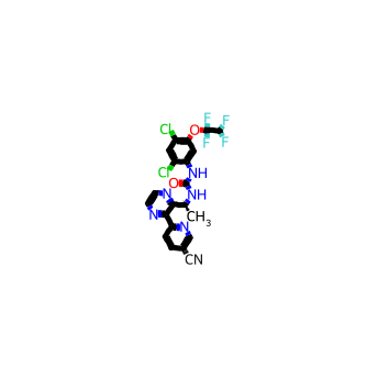 C[C@H](NC(=O)Nc1cc(OC(F)(F)C(F)F)c(Cl)cc1Cl)c1nccnc1-c1ccc(C#N)cn1